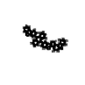 c1ccc2c(c1)oc1cc(-c3c4ccccc4c(-c4ccc5oc6c(ccc7c6ccc6sc8ccccc8c67)c5c4)c4ccccc34)ccc12